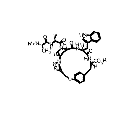 CN[C@@H](C)C(=O)N[C@H](C(=O)N1C[C@@H]2C[C@H]1C(=O)N[C@@H](Cc1c[nH]c3ccccc13)C(=O)N[C@H](C(=O)O)Cc1ccc(cc1)OCc1cn2nn1)C(C)C